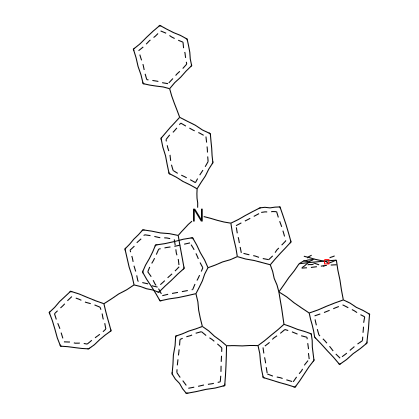 c1ccc(-c2ccc(N(c3ccc(-c4ccccc4)cc3)c3cccc4c3-c3ccccc3-c3ccccc3-c3ccccc3C43c4ccccc4-c4ccccc43)cc2)cc1